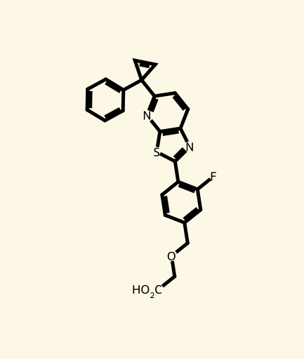 O=C(O)COCc1ccc(-c2nc3ccc(C4(c5ccccc5)C=C4)nc3s2)c(F)c1